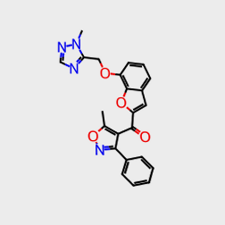 Cc1onc(-c2ccccc2)c1C(=O)c1cc2cccc(OCc3ncnn3C)c2o1